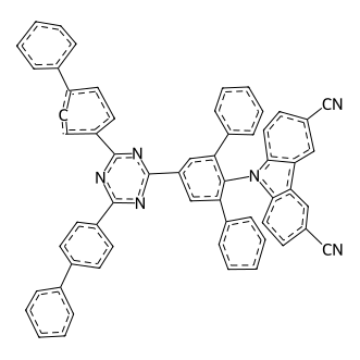 N#Cc1ccc2c(c1)c1cc(C#N)ccc1n2-c1c(-c2ccccc2)cc(-c2nc(-c3ccc(-c4ccccc4)cc3)nc(-c3ccc(-c4ccccc4)cc3)n2)cc1-c1ccccc1